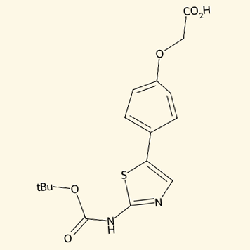 CC(C)(C)OC(=O)Nc1ncc(-c2ccc(OCC(=O)O)cc2)s1